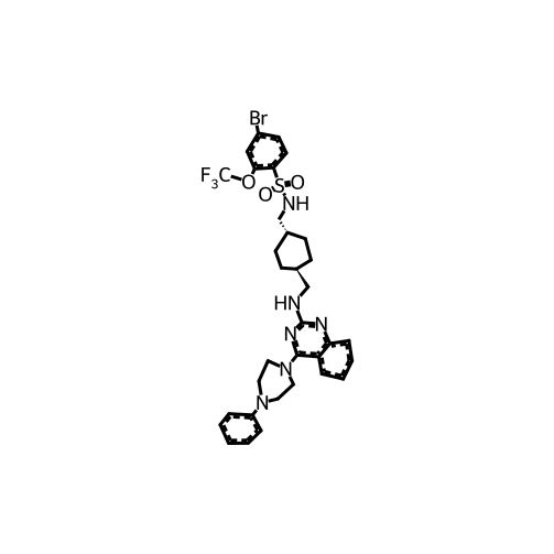 O=S(=O)(NC[C@H]1CC[C@H](CNc2nc(N3CCN(c4ccccc4)CC3)c3ccccc3n2)CC1)c1ccc(Br)cc1OC(F)(F)F